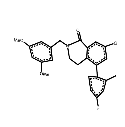 COc1cc(CN2CCc3c(cc(Cl)cc3-c3ccc(F)cc3C)C2=O)cc(OC)c1